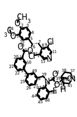 COc1ccc([C@H](Cc2c(Cl)cncc2Cl)OC(=O)c2cccc(-c3cccc(CN(C(=O)O[C@H]4CN5CCC4CC5)c4ccccc4F)c3)c2)cc1OC